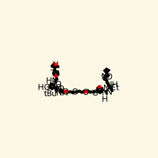 CCc1cnc(Nc2cccc(OCCCOCCCCOCCCOCC(=O)NC(C(=O)C3C[C@H](O)C[C@H]3C(=O)NCc3ccc(-c4scnc4C)cc3)C(C)(C)C)c2)nc1NCCCN(C)C(=O)C1CCC1